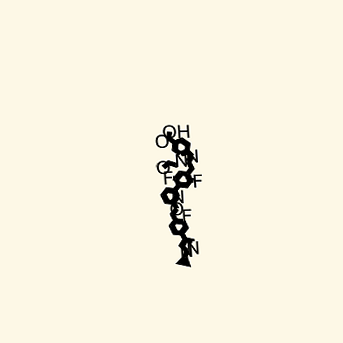 COCCn1c(Cc2cc(F)c(-c3cccc(OCc4ccc(-c5cnn(C6CC6)c5)cc4F)n3)cc2F)nc2ccc(C(=O)O)cc21